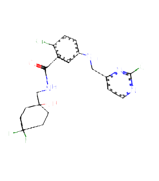 O=C(NCC1(O)CCC(F)(F)CC1)c1cc(NCc2ccnc(Cl)n2)ccc1Cl